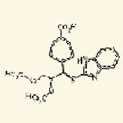 O=C(O)OCC(OC(=O)O)C(Sc1nc2ccccc2[nH]1)c1ccc(C(=O)O)cc1